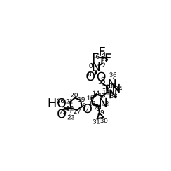 CN(CC(F)(F)F)C(=O)OCc1c(-c2ccc(O[C@H]3CCC[C@](C)(C(=O)O)C3)c(C3CC3)n2)nnn1C